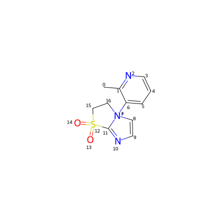 Cc1ncccc1[N+]12C=CN=C1S(=O)(=O)CC2